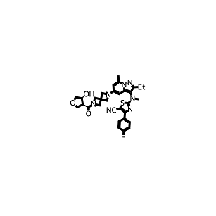 CCc1nn2c(C)cc(N3CC4(CN(C(=O)[C@H]5COC[C@@H]5O)C4)C3)cc2c1N(C)c1nc(-c2ccc(F)cc2)c(C#N)s1